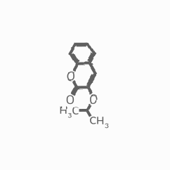 CC(C)Oc1cc2ccccc2oc1=O